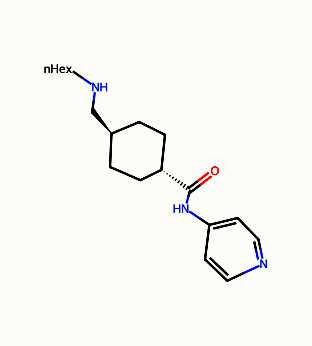 CCCCCCNC[C@H]1CC[C@H](C(=O)Nc2ccncc2)CC1